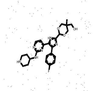 CC1(CO)COC(c2nc(-c3ccc(F)cc3)c(-c3ccnc(NC4CCNCC4)n3)[nH]2)OC1